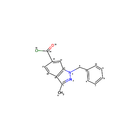 Cc1nn(Cc2ccccc2)c2cc(C(=O)Cl)ccc12